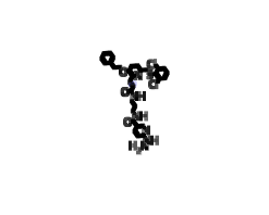 NNc1ccc(C(=O)NCCCNC(=O)/C=C/c2nc(CSc3c(Cl)cccc3Cl)ccc2OCCc2ccccc2)cn1